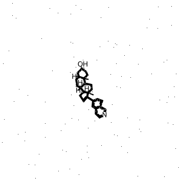 C[C@]12CC[C@@H](O)C[C@@H]1CC[C@@H]1[C@@H]2CC[C@]2(C)C(c3ccc4cnccc4c3)=CC[C@@H]12